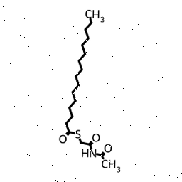 CCCCCCCCCCCCCCCC(=O)SCC(=O)NC(C)=O